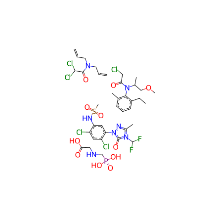 C=CCN(CC=C)C(=O)C(Cl)Cl.CCc1cccc(C)c1N(C(=O)CCl)C(C)COC.Cc1nn(-c2cc(NS(C)(=O)=O)c(Cl)cc2Cl)c(=O)n1C(F)F.O=C(O)CNCP(=O)(O)O